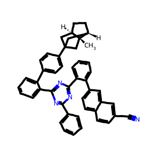 C[C@@]12CC3(c4ccc(-c5ccccc5-c5nc(-c6ccccc6)nc(-c6ccccc6-c6ccc7ccc(C#N)cc7c6)n5)cc4)C[C@H]1CC[C@H]2C3